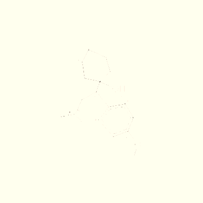 COc1ccc(C(C[As](C)C)C2(O)CCCCC2)cc1